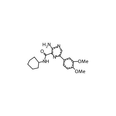 COc1ccc(-c2cnc(N)c(C(=O)NC3CCCCC3)n2)cc1OC